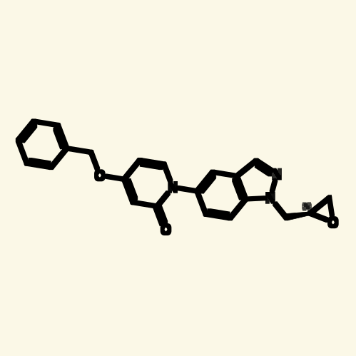 O=c1cc(OCc2ccccc2)ccn1-c1ccc2c(cnn2C[C@H]2CO2)c1